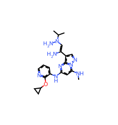 CNc1cc(Nc2cccnc2OC2CC2)nc2c(/C(N)=C/N(N)C(C)C)cnn12